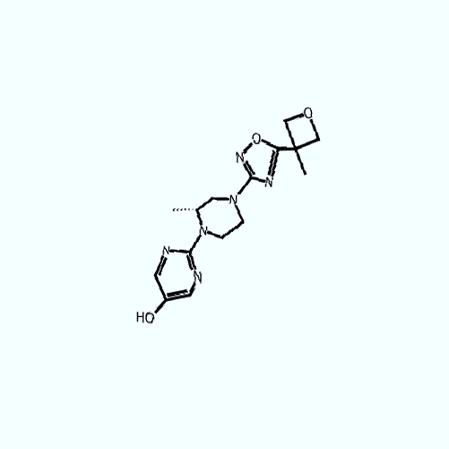 C[C@@H]1CN(c2noc(C3(C)COC3)n2)CCN1c1ncc(O)cn1